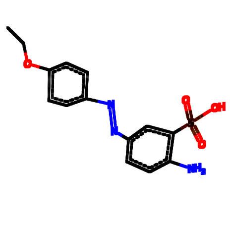 CCOc1ccc(N=Nc2ccc(N)c(S(=O)(=O)O)c2)cc1